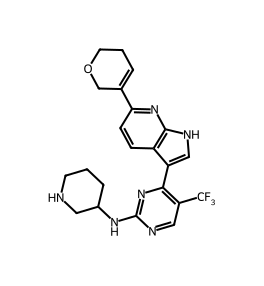 FC(F)(F)c1cnc(NC2CCCNC2)nc1-c1c[nH]c2nc(C3=CCCOC3)ccc12